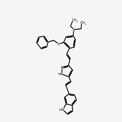 CCN(CC)c1ccc(/C=C/c2cc(/C=C/c3ccc4cc[nH]c4c3)[nH]n2)c(OCc2ccccc2)c1